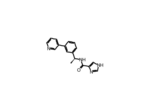 C[C@H](NC(=O)c1c[nH]cn1)c1cccc(-c2cccnc2)c1